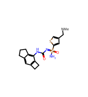 CNCc1csc(S(N)(=O)=NC(=O)Nc2c3c(cc4c2CC4)CCC3)c1